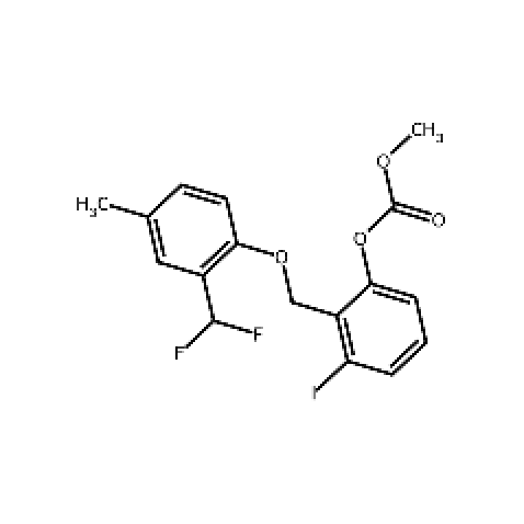 COC(=O)Oc1cccc(I)c1COc1ccc(C)cc1C(F)F